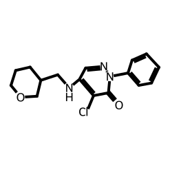 O=c1c(Cl)c(NCC2CCCOC2)cnn1-c1ccccc1